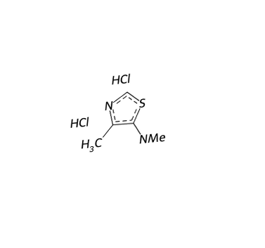 CNc1scnc1C.Cl.Cl